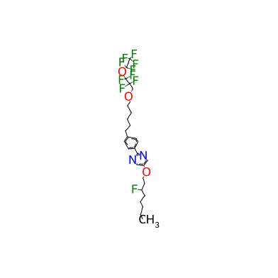 CCCCCC(F)CCOc1cnc(-c2ccc(CCCCCCOCC(F)(F)C(F)(F)OC(F)(F)C(F)(F)F)cc2)nc1